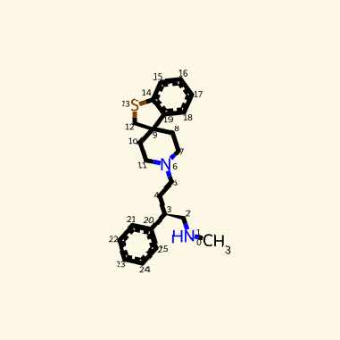 CNC[C@H](CCN1CCC2(CC1)CSc1ccccc12)c1ccccc1